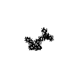 c1ccc(-c2cc(-c3ccc(-c4cccc(-c5cccc6oc7c8ccccc8c(-c8ccc9ccccc9c8)cc7c56)c4)cc3)nc(-c3ccccc3)n2)cc1